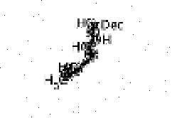 CCCCCCCCCC[C@H](O)[C@H]1CC[C@H]([C@H](O)CC[C@H](O)[C@@H]2CC[C@@H](CCCCC[C@@H](O)CC3=C[C@H](C)OC3=O)O2)O1